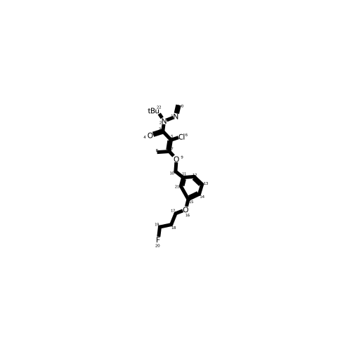 C=NN(C(=O)/C(Cl)=C(\C)OCc1cccc(OCCCF)c1)C(C)(C)C